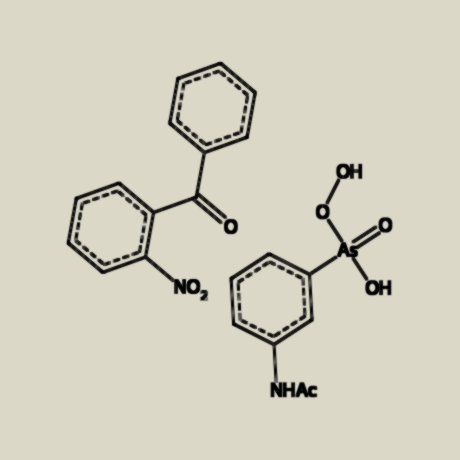 CC(=O)Nc1cccc([As](=O)(O)OO)c1.O=C(c1ccccc1)c1ccccc1[N+](=O)[O-]